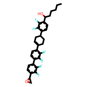 CCCCCC(O)c1ccc(C2CC=C(c3ccc(-c4ccc(C5CO5)c(F)c4F)c(F)c3F)CC2)c(F)c1F